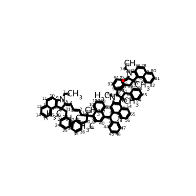 C=C(/C=C/C=C1/N(CC)c2ccc3ccccc3c2C1(C)Cc1ccccc1)C(C)(Cc1ccccc1)c1c(C)cc(C(c2ccccc2)c2cc3c(c4ccccc24)C(C)(Cc2ccccc2)C(/C=C/C=C2/N(CC)c4ccc5ccccc5c4C2(C)Cc2ccccc2)=[N+]3C)c2ccccc12